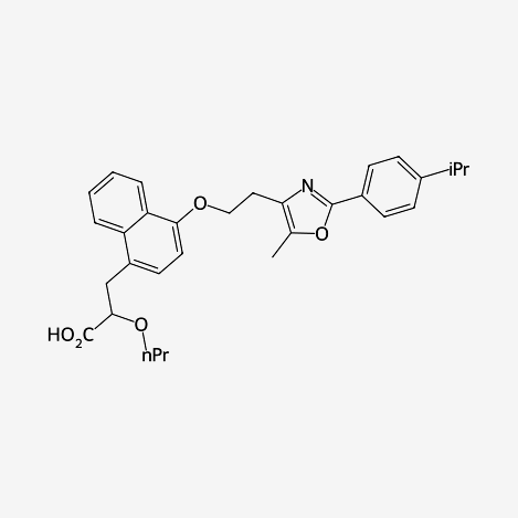 CCCOC(Cc1ccc(OCCc2nc(-c3ccc(C(C)C)cc3)oc2C)c2ccccc12)C(=O)O